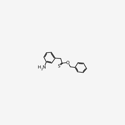 Nc1cccc(CC(=S)OCc2ccccc2)c1